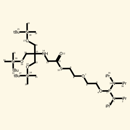 CC(C)N(C(C)C)P(OCCOCCSC(=O)CNC(CO[Si](C)(C)C(C)(C)C)(CO[Si](C)(C)C(C)(C)C)CO[Si](C)(C)C(C)(C)C)N(C(C)C)C(C)C